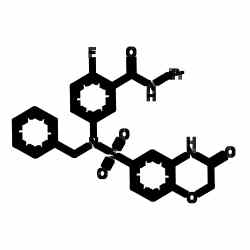 CC(C)NC(=O)c1cc(N(Cc2ccccc2)S(=O)(=O)c2ccc3c(c2)NC(=O)CO3)ccc1F